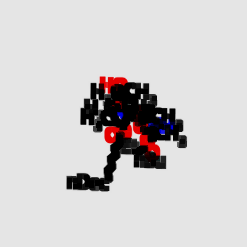 CCCCC(CC)C(=O)OCC1(C)COC(=O)C(C)(C)N1.CCCCCCCCCCCCCCCCCC(=O)OC1CC(C)(C)N(OCC(C)(C)O)C(C)(C)C1